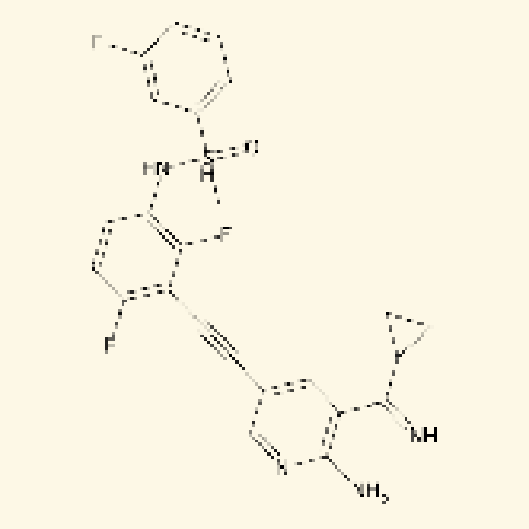 C[SH](=O)(Nc1ccc(F)c(C#Cc2cnc(N)c(C(=N)C3CC3)c2)c1F)c1cccc(F)c1